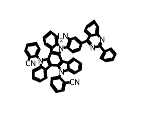 N#Cc1ccccc1-n1c2ccccc2c2c3c(c4ccccc4n3-c3ccc(-c4nc(-c5ccccc5)nc5ccccc45)cc3N)c3c(c4ccccc4n3-c3ccccc3C#N)c21